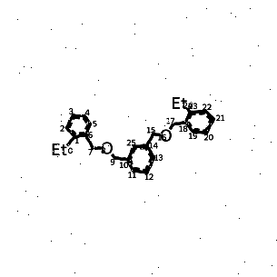 CCc1ccccc1COCc1cccc(COCc2ccccc2CC)c1